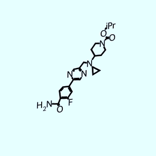 CC(C)OC(=O)N1CCC(N(Cc2cnc(-c3ccc(C(N)=O)c(F)c3)cn2)C2CC2)CC1